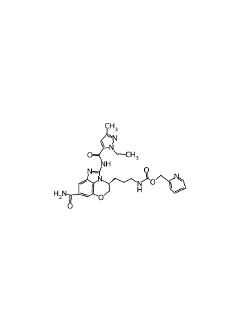 CCn1nc(C)cc1C(=O)Nc1nc2cc(C(N)=O)cc3c2n1[C@@H](CCCNC(=O)OCc1ccccn1)CO3